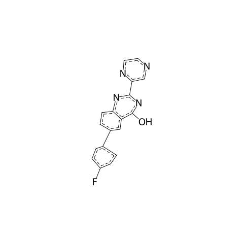 Oc1nc(-c2cnccn2)nc2ccc(-c3ccc(F)cc3)cc12